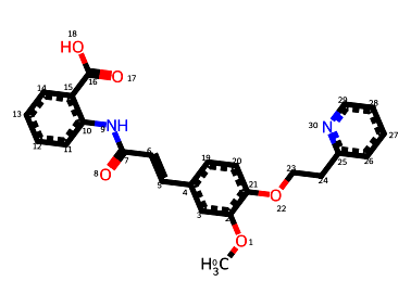 COc1cc(C=CC(=O)Nc2ccccc2C(=O)O)ccc1OCCc1ccccn1